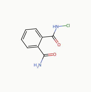 NC(=O)c1ccccc1C(=O)NCl